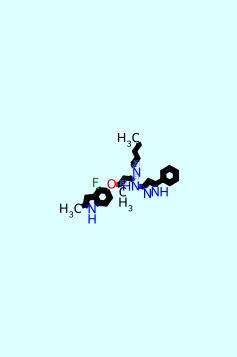 CCC/C=C/N=C(\C=C(/C)Oc1ccc2[nH]c(C)cc2c1F)Nc1cc(-c2ccccc2)[nH]n1